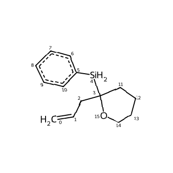 C=CCC1([SiH2]c2ccccc2)CCCCO1